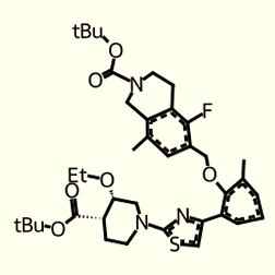 CCO[C@@H]1CN(c2nc(-c3cccc(C)c3OCc3cc(C)c4c(c3F)CCN(C(=O)OC(C)(C)C)C4)cs2)CC[C@@H]1C(=O)OC(C)(C)C